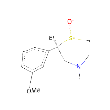 CC[C@@]1(c2cccc(OC)c2)CN(C)CC[S@@+]1[O-]